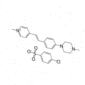 CN1CCN(c2ccc(/C=C/c3cc[n+](C)cc3)cc2)CC1.O=S(=O)([O-])c1ccc(Cl)cc1